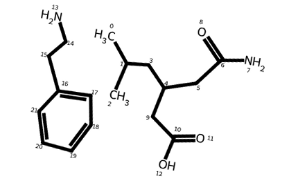 CC(C)CC(CC(N)=O)CC(=O)O.NCCc1ccccc1